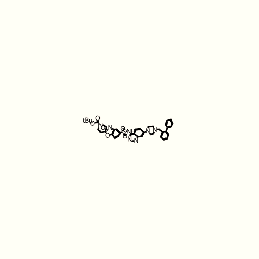 CC(C)(C)OC(=O)N1CCC(Oc2ccc(S(=O)(=O)Nc3ncnc4cc(N5CCN(Cc6ccccc6-c6ccccc6)CC5)ccc34)cc2[N+](=O)[O-])CC1